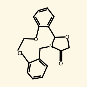 CCOc1ccccc1C1OCC(=O)N1Cc1ccccc1Cl